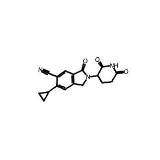 N#Cc1cc2c(cc1C1CC1)CN(C1CCC(=O)NC1=O)C2=O